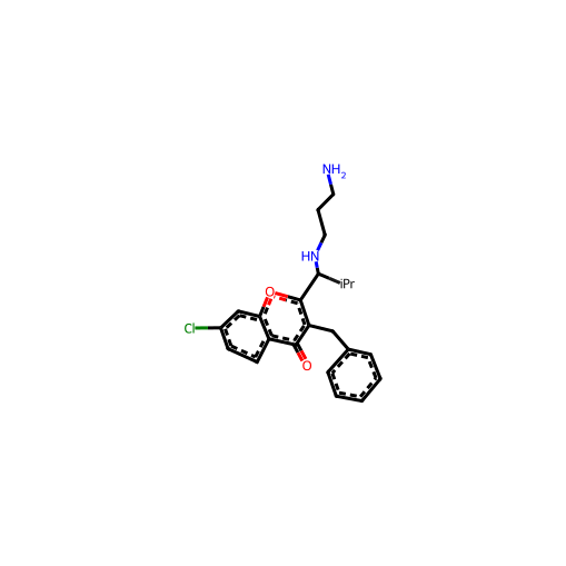 CC(C)C(NCCCN)c1oc2cc(Cl)ccc2c(=O)c1Cc1ccccc1